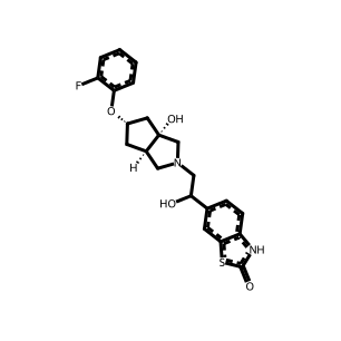 O=c1[nH]c2ccc(C(O)CN3C[C@H]4C[C@H](Oc5ccccc5F)C[C@@]4(O)C3)cc2s1